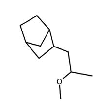 COC(C)CC1CC2CCC1C2